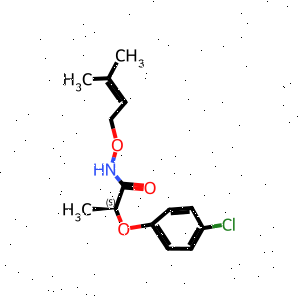 CC(C)=CCONC(=O)[C@H](C)Oc1ccc(Cl)cc1